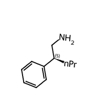 CCC[C@H](CN)c1ccccc1